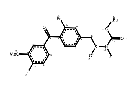 COc1cc(C(=O)c2ccc(C[S+]([O-])N(C)C(=O)OC(C)(C)C)cc2Br)ccc1F